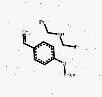 C=Cc1ccc(OCCCCCC)cc1.CC(C)CNCC(C)C